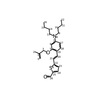 C=C(C)COc1cc(N(CCCC)CCCC)ccc1/C=C/c1ccc(C=O)s1